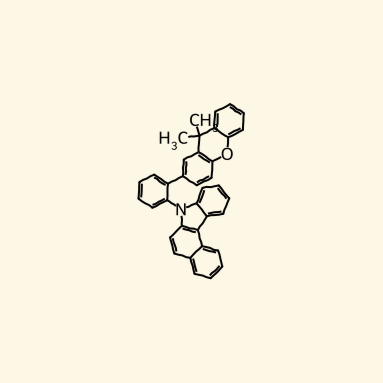 CC1(C)c2ccccc2Oc2ccc(-c3ccccc3-n3c4ccccc4c4c5ccccc5ccc43)cc21